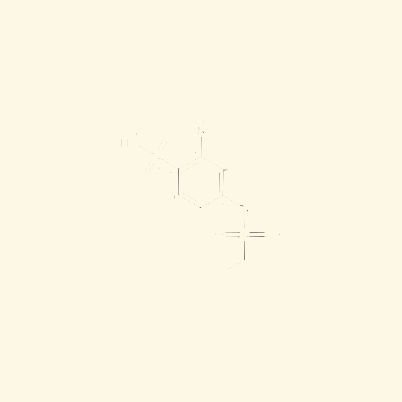 CCS(=O)(=O)Nc1ccc(S(=O)(=O)O)c(N)c1